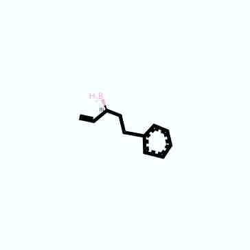 B[C@H](C=C)CCc1ccccc1